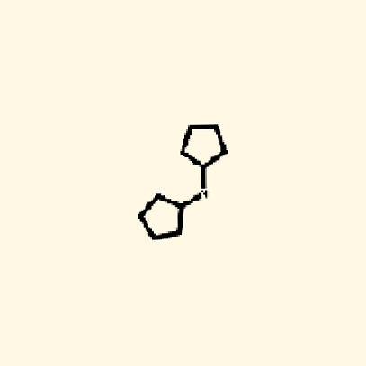 C1CCC([N]C2CCCC2)C1